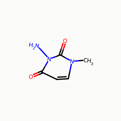 Cn1ccc(=O)n(N)c1=O